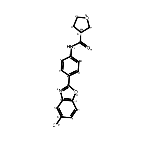 O=C(Nc1ccc(-c2nc3cc(Cl)ccc3o2)cc1)[C@H]1CCOC1